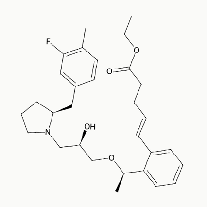 CCOC(=O)CC/C=C/c1ccccc1[C@@H](C)OC[C@H](O)CN1CCC[C@H]1Cc1ccc(C)c(F)c1